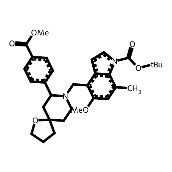 COC(=O)c1ccc(C2CC3(CCCO3)CCN2Cc2c(OC)cc(C)c3c2ccn3C(=O)OC(C)(C)C)cc1